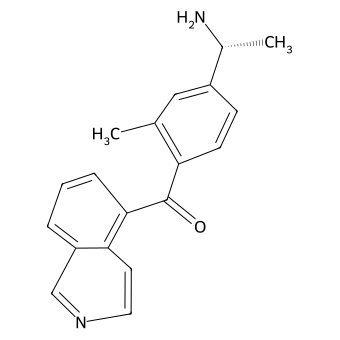 Cc1cc([C@@H](C)N)ccc1C(=O)c1cccc2cnccc12